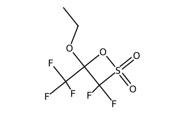 CCOC1(C(F)(F)F)OS(=O)(=O)C1(F)F